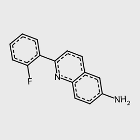 Nc1ccc2nc(-c3ccccc3F)ccc2c1